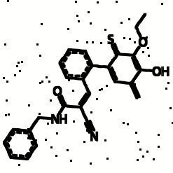 C=C1C=C(c2ccccc2C=C(C#N)C(=O)NCc2ccccc2)C(=S)C(OCC)=C1O